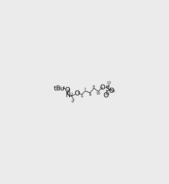 CC(=NOC(C)(C)C)OCCCCCOS(C)(=O)=O